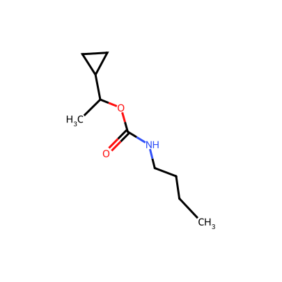 CCCCNC(=O)OC(C)C1CC1